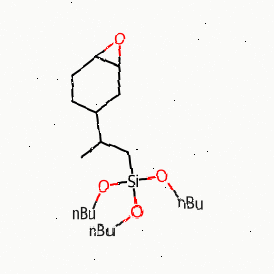 CCCCO[Si](CC(C)C1CCC2OC2C1)(OCCCC)OCCCC